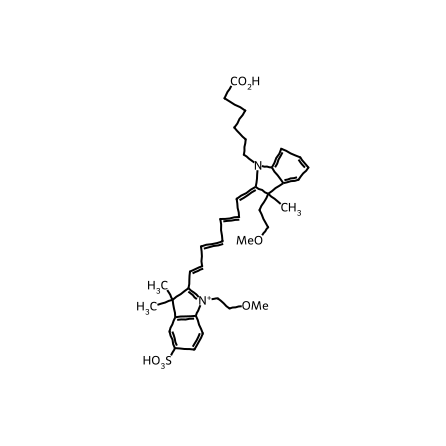 COCC[N+]1=C(/C=C/C=C/C=C/C=C2/N(CCCCCC(=O)O)c3ccccc3C2(C)CCOC)C(C)(C)c2cc(S(=O)(=O)O)ccc21